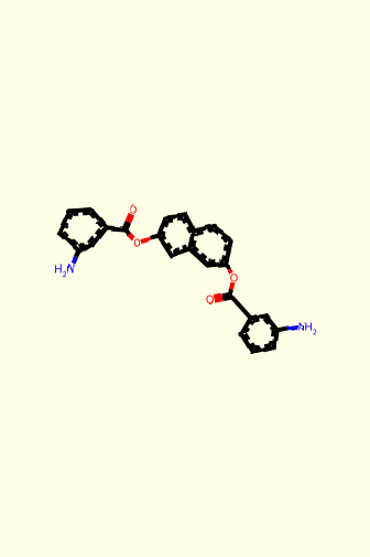 Nc1cccc(C(=O)Oc2ccc3ccc(OC(=O)c4cccc(N)c4)cc3c2)c1